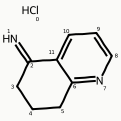 Cl.N=C1CCCc2ncccc21